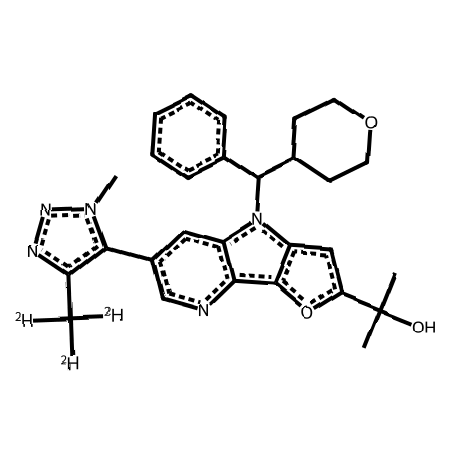 [2H]C([2H])([2H])c1nnn(C)c1-c1cnc2c3oc(C(C)(C)O)cc3n(C(c3ccccc3)C3CCOCC3)c2c1